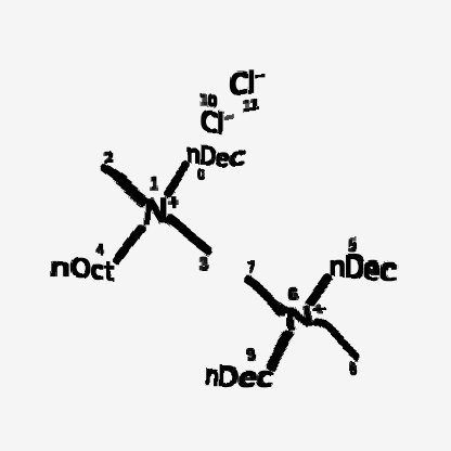 CCCCCCCCCC[N+](C)(C)CCCCCCCC.CCCCCCCCCC[N+](C)(C)CCCCCCCCCC.[Cl-].[Cl-]